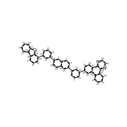 c1cc(-c2ccc3cc(-c4cccc(-c5cccc6c5oc5ccccc56)c4)ccc3c2)cc(-c2ccc3c(c2)c2ccccc2c2nccnc32)c1